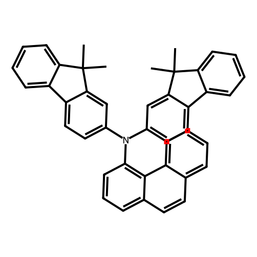 CC1(C)c2ccccc2-c2ccc(N(c3ccc4c(c3)C(C)(C)c3ccccc3-4)c3cccc4ccc5ccccc5c34)cc21